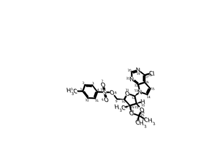 Cc1ccc(S(=O)(=O)OC[C@H]2O[C@@H](n3ccc4c(Cl)ncnc43)[C@@H]3OC(C)(C)O[C@]23C)cc1